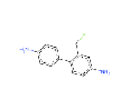 Nc1ccc(-c2ccc(N)cc2CF)cc1